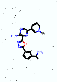 CC(N)c1cccc(-c2nnc(-c3nc(C4=CN(C(C)C)CC=C4)cnc3N)o2)c1